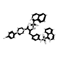 O=C(C(Cc1ccc(OS(=O)(=O)c2nccc3ccccc23)cc1)NS(=O)(=O)c1nccc2ccccc12)N1CCN(c2ccc(F)cc2)CC1